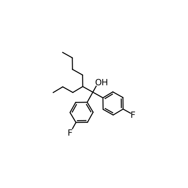 CCCCC(CCC)C(O)(c1ccc(F)cc1)c1ccc(F)cc1